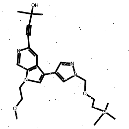 COCCn1cc(-c2cnn(COCCS(C)(C)C)c2)c2cc(C#CC(C)(C)O)ncc21